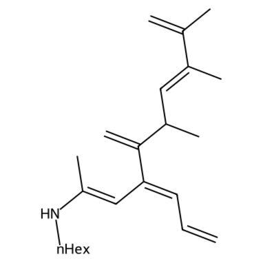 C=C/C=C(\C=C(/C)NCCCCCC)C(=C)C(C)/C=C(\C)C(=C)C